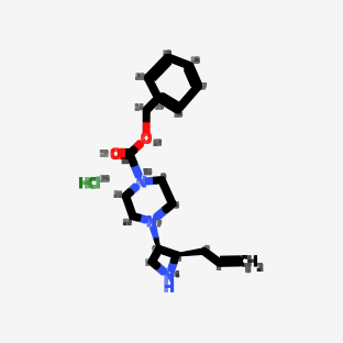 C=CC[C@H]1NC[C@H]1N1CCN(C(=O)OCc2ccccc2)CC1.Cl